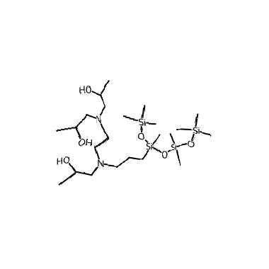 CC(O)CN(CCC[Si](C)(O[Si](C)(C)C)O[Si](C)(C)O[Si](C)(C)C)CCN(CC(C)O)CC(C)O